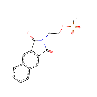 O=C1c2cc3ccccc3cc2C(=O)N1CCOS(=O)(=O)C(F)(F)F